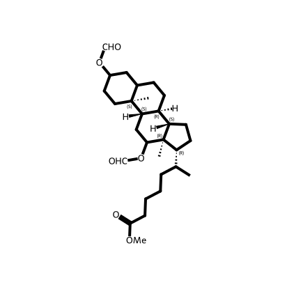 COC(=O)CCCCC(C)[C@H]1CC[C@H]2[C@@H]3CCC4CC(OC=O)CC[C@]4(C)[C@H]3CC(OC=O)[C@]12C